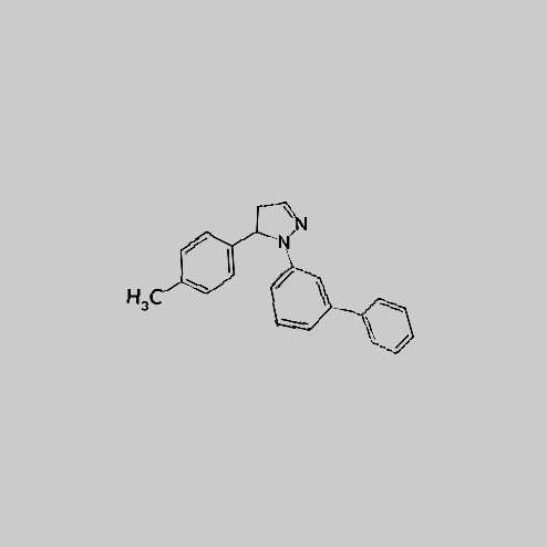 Cc1ccc(C2CC=NN2c2cccc(-c3ccccc3)c2)cc1